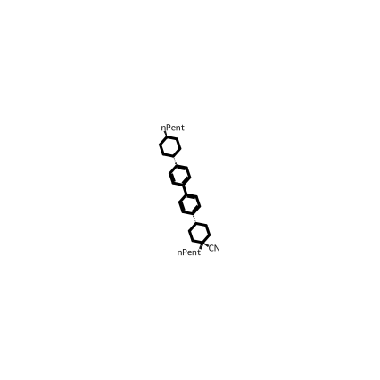 CCCCC[C@H]1CC[C@H](c2ccc(-c3ccc([C@H]4CC[C@@](C#N)(CCCCC)CC4)cc3)cc2)CC1